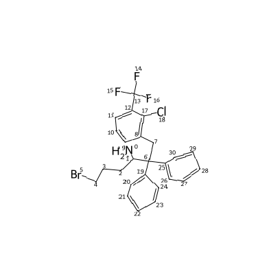 NC(CCCBr)C(Cc1cccc(C(F)(F)F)c1Cl)(c1ccccc1)c1ccccc1